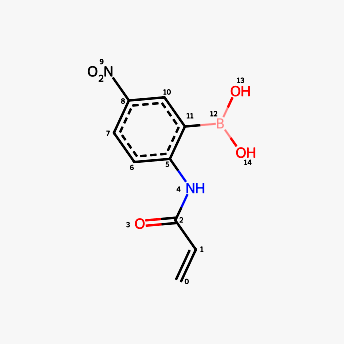 C=CC(=O)Nc1ccc([N+](=O)[O-])cc1B(O)O